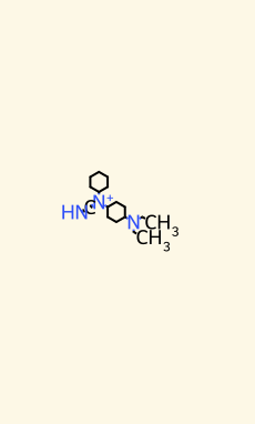 CCN(CC)C1CCC([N+](=C=N)C2CCCCC2)CC1